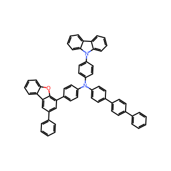 c1ccc(-c2ccc(-c3ccc(N(c4ccc(-c5cc(-c6ccccc6)cc6c5oc5ccccc56)cc4)c4ccc(-n5c6ccccc6c6ccccc65)cc4)cc3)cc2)cc1